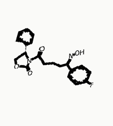 O=C(CCC/C(=N/O)c1ccc(F)cc1)N1C(=O)OC[C@@H]1c1ccccc1